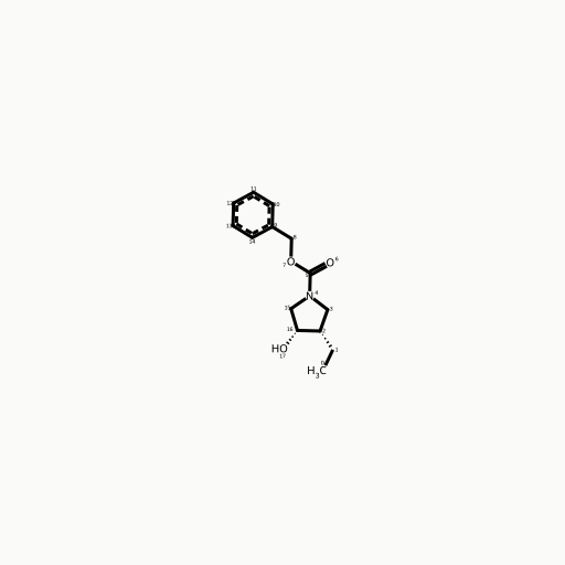 CC[C@H]1CN(C(=O)OCc2ccccc2)C[C@H]1O